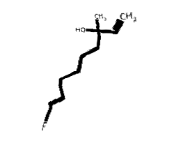 C=CC(C)(O)CCCCCCF